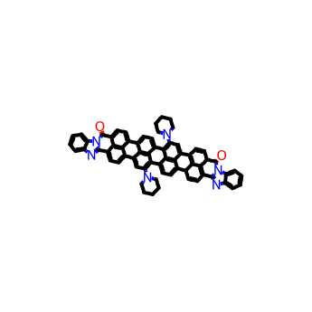 O=C1C2C=CC3=C4C2=C(C=CC4c2ccc4c5c(N6CCCCC6)cc6c7ccc8c9c(ccc(c%10ccc(c%11c(N%12CCCCC%12)cc3c2c4%11)c5c%106)c79)c(=O)n2c3ccccc3nc82)c2nc3ccccc3n21